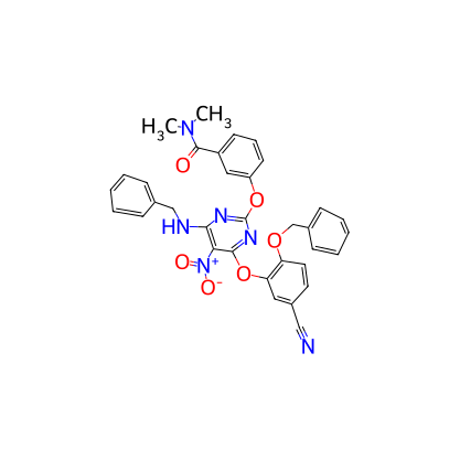 CN(C)C(=O)c1cccc(Oc2nc(NCc3ccccc3)c([N+](=O)[O-])c(Oc3cc(C#N)ccc3OCc3ccccc3)n2)c1